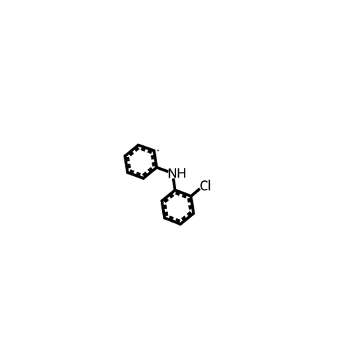 Clc1ccccc1Nc1[c]cccc1